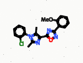 COc1ccccc1-c1noc(-c2nc(C)n(-c3ccccc3Cl)c2C)n1